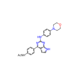 CC(=O)Nc1ccc(-c2nc(Nc3ccc(N4CCOCC4)cc3)nc3[nH]ccc23)cc1